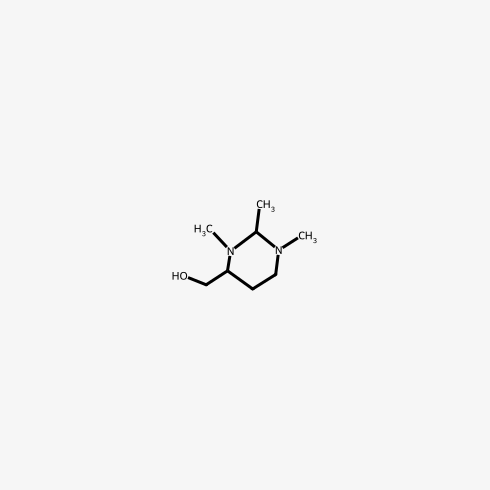 CC1N(C)CCC(CO)N1C